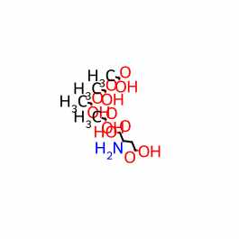 CC(=O)O.CC(=O)O.CC(=O)O.CC(=O)O.NC(CC(=O)O)C(=O)O